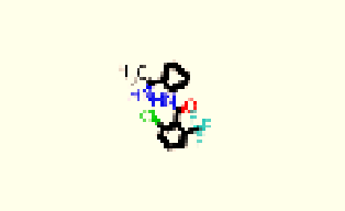 CC(=N)c1ccccc1NC(=O)c1c(Cl)cccc1C(F)(F)F